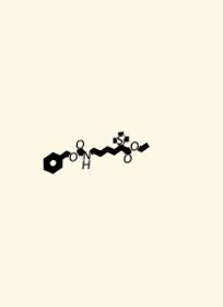 CCOC(=O)C(CCCCNC(=O)OCc1ccccc1)[Si](C)(C)C